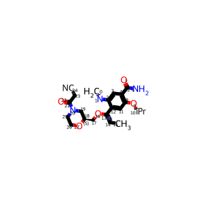 C=Nc1cc(C(N)=O)c(OC(C)C)cc1/C(=C\C)OC[C@@H]1CN(C(=O)CC#N)CCO1